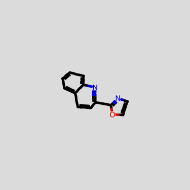 c1ccc2nc(-c3ncco3)ccc2c1